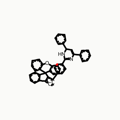 C1=C(c2ccccc2)N=C(c2ccc(-c3cccc4c3C3(c5ccccc5Oc5ccccc53)c3ccccc3-4)cc2)NC1c1ccccc1